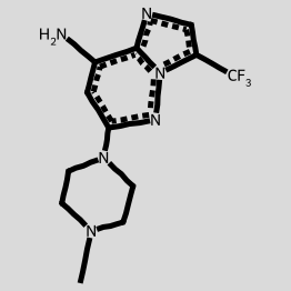 CN1CCN(c2cc(N)c3ncc(C(F)(F)F)n3n2)CC1